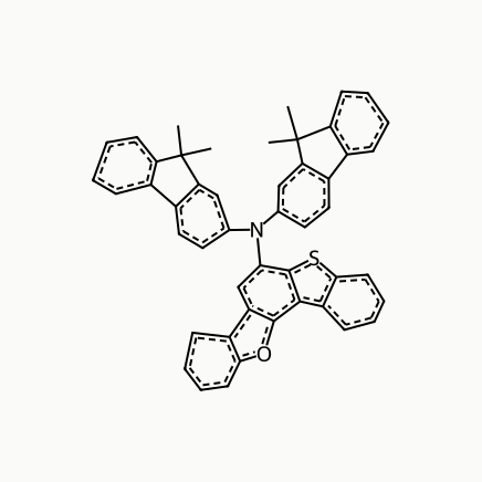 CC1(C)c2ccccc2-c2ccc(N(c3ccc4c(c3)C(C)(C)c3ccccc3-4)c3cc4c5ccccc5oc4c4c3sc3ccccc34)cc21